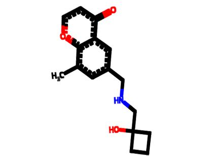 Cc1cc(CNCC2(O)CCC2)cc2c(=O)ccoc12